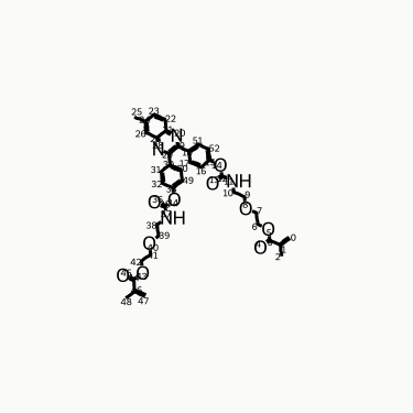 C=C(C)C(=O)OCCOCCNC(=O)Oc1ccc(-c2nc3ccc(C)cc3nc2-c2ccc(OC(=O)NCCOCCOC(=O)C(=C)C)cc2)cc1